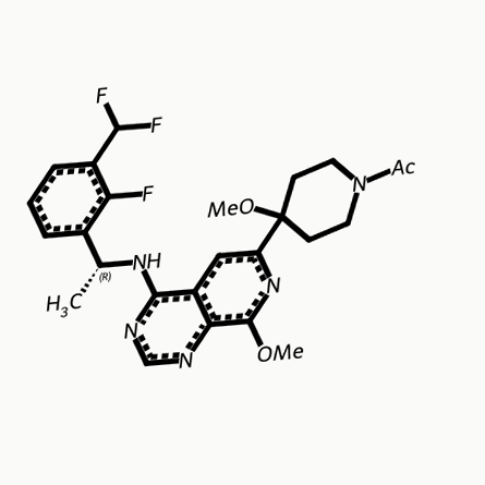 COc1nc(C2(OC)CCN(C(C)=O)CC2)cc2c(N[C@H](C)c3cccc(C(F)F)c3F)ncnc12